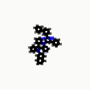 C/C=C\C1=C(C)N(C2CC(c3ccccc3)NC(c3cccc(-c4ccccc4)c3)N2)c2ccccc2-c2c1n(-c1ccc3ccccc3c1)c1ccccc21